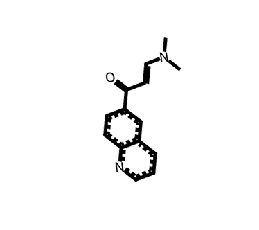 CN(C)C=CC(=O)c1ccc2ncccc2c1